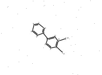 Ic1ccc(-c2ccccc2)cc1I